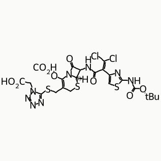 CC(C)(C)OC(=O)Nc1nc(C(C(=O)NC2C(=O)N3C(OC(=O)O)=C(CSc4nnnn4CC(=O)O)CS[C@@H]23)=C(Cl)Cl)cs1